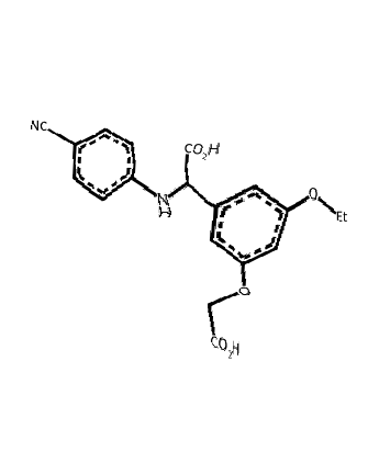 CCOc1cc(OCC(=O)O)cc(C(Nc2ccc(C#N)cc2)C(=O)O)c1